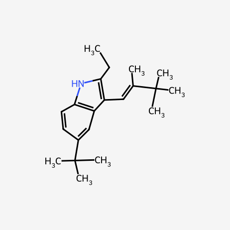 CCc1[nH]c2ccc(C(C)(C)C)cc2c1/C=C(\C)C(C)(C)C